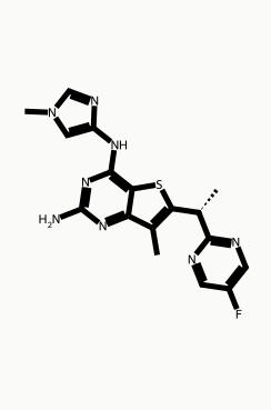 Cc1c([C@H](C)c2ncc(F)cn2)sc2c(Nc3cn(C)cn3)nc(N)nc12